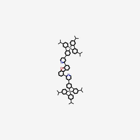 CC(C)c1ccc2c(c1)-c1cc(-c3ccnc(-c4cccc5c4oc4cccc(-c6cc(-c7ccc8c(c7)-c7cc(C(C)C)ccc7[Si]87c8ccc(C(C)C)cc8-c8cc(C(C)C)ccc87)ccn6)c45)c3)ccc1[Si]21c2ccc(C(C)C)cc2-c2cc(C(C)C)ccc21